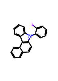 Ic1ccccc1-n1c2ccccc2c2c3ccccc3ccc21